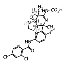 CC1(C)C(NC(=O)O)=N[C@](C)(c2nc(NC(=O)c3ncc(Cl)cc3Cl)ccc2F)[C@@H]2CCN[SH]21=O